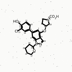 O=C(O)N1CC[C@H](Oc2cc(-c3ccc(O)c(Cl)c3)cc3c2cnn3C2CCCCO2)C1